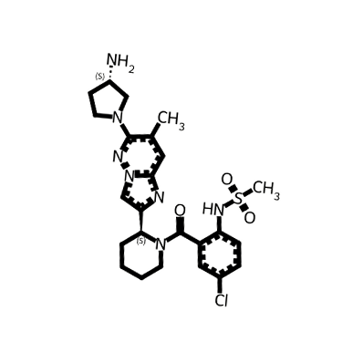 Cc1cc2nc([C@@H]3CCCCN3C(=O)c3cc(Cl)ccc3NS(C)(=O)=O)cn2nc1N1CC[C@H](N)C1